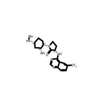 CCC[C@@H]1C[C@H](NC(C)(C)C)CC[C@@H]1N1CC[C@H](Nc2ncnc3ccc(C(F)(F)F)cc23)C1=O